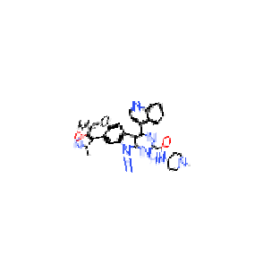 COc1cc2c(cc1-c1c(C)noc1C)[nH]c1nc(C(=O)NC3CCN(C)CC3)nc(-c3ccnc4ccccc34)c12